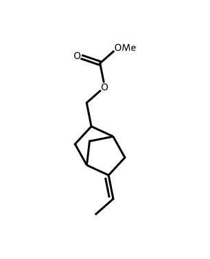 CC=C1CC2CC1CC2COC(=O)OC